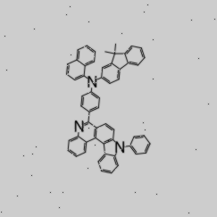 CC1(C)c2ccccc2-c2ccc(N(c3ccc(-c4nc5ccccc5c5c4ccc4c5c5ccccc5n4-c4ccccc4)cc3)c3cccc4ccccc34)cc21